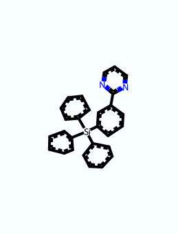 c1ccc([Si](c2ccccc2)(c2ccccc2)c2cccc(-c3ncccn3)c2)cc1